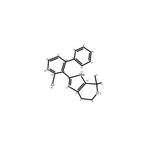 CC1(C)OCCc2nc(-c3c(-c4ccccc4)ccnc3Cl)[nH]c21